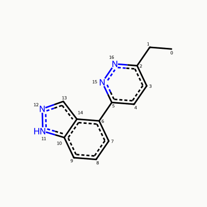 CCc1ccc(-c2cccc3[nH]ncc23)nn1